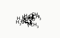 CC(CCN(C)C(=O)C(C)(C)C)N(I)CCN(C)C(N)=O